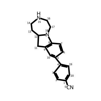 N#Cc1ccc(-c2ccc3c(c2)CC2CCNCCN32)cc1